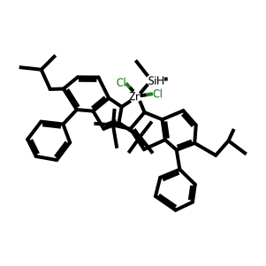 CC(C)Cc1ccc2c(c1-c1ccccc1)C=C(C(C)(C)C)[CH]2[Zr]([Cl])([Cl])([CH]1C(C(C)(C)C)=Cc2c1ccc(CC(C)C)c2-c1ccccc1)[SiH](C)C